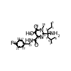 CCCC(N)(CC(C)C)c1nc(C(=O)NCc2ccc(F)cc2)c(O)c(=O)n1C